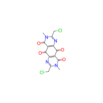 Cn1c(CCl)nc2c(c1=O)C(=O)c1nc(CCl)n(C)c(=O)c1C2=O